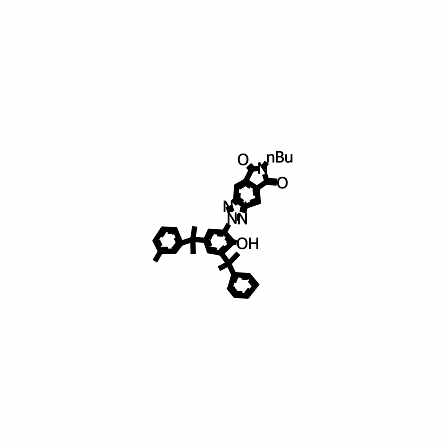 CCCCN1C(=O)c2cc3nn(-c4cc(C(C)(C)c5cccc(C)c5)cc(C(C)(C)c5ccccc5)c4O)nc3cc2C1=O